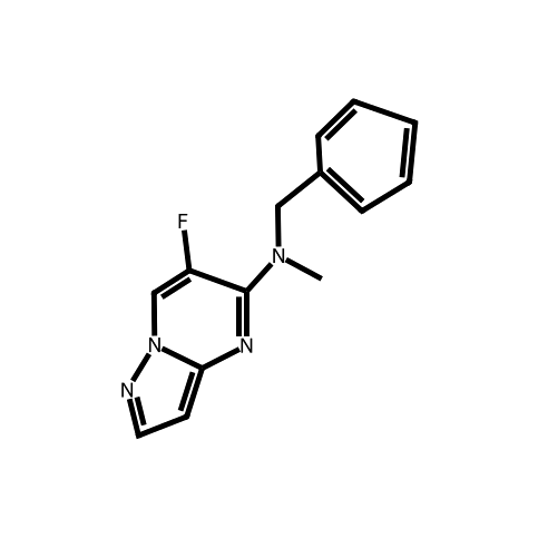 CN(Cc1ccccc1)c1nc2ccnn2cc1F